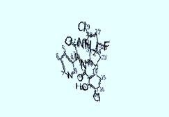 NC(=O)[C@@H](c1cccnc1)N(C(=O)c1cccc(Cl)c1O)[C@@H]1CCc2c(F)cc(Cl)cc21